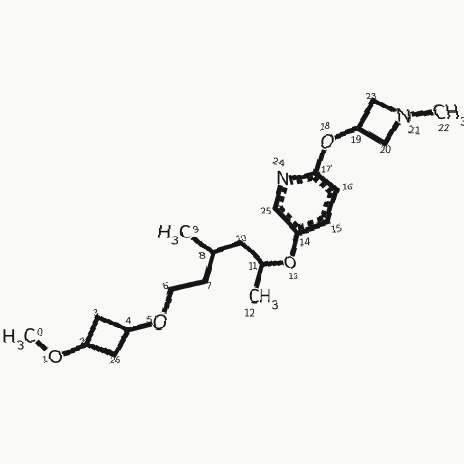 COC1CC(OCCC(C)CC(C)Oc2ccc(OC3CN(C)C3)nc2)C1